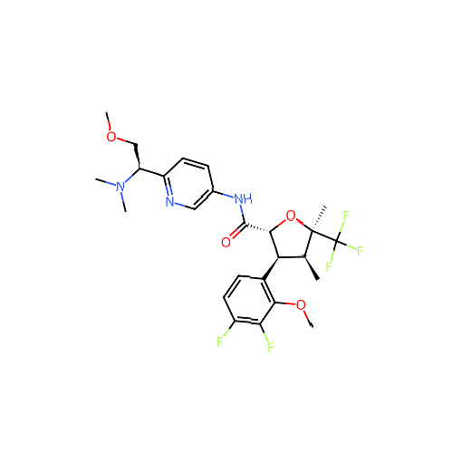 COC[C@@H](c1ccc(NC(=O)[C@@H]2O[C@@](C)(C(F)(F)F)[C@@H](C)[C@H]2c2ccc(F)c(F)c2OC)cn1)N(C)C